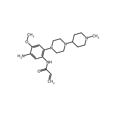 C=CC(=O)Nc1cc(N)c(OC)cc1N1CCN(C2CCN(C)CC2)CC1